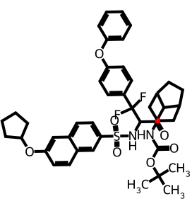 CC(C)(C)OC(=O)NC1CC2CCC(C1)C2C(=O)C(NS(=O)(=O)c1ccc2cc(OC3CCCC3)ccc2c1)C(F)(F)c1ccc(Oc2ccccc2)cc1